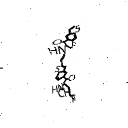 CNC(CCF)C(=O)c1ccc2sc(CCNC(CF)C(=O)c3ccc4sccc4c3)cc2c1